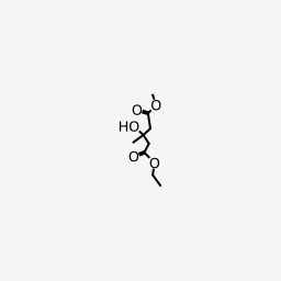 CCOC(=O)CC(C)(O)CC(=O)OC